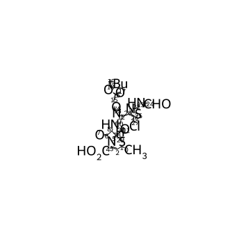 CC1C=C(C(=O)O)N2C(=O)C(NC(=O)C(=NOCC(=O)OC(C)(C)C)c3nc(NC=O)sc3Cl)[C@@H]2S1